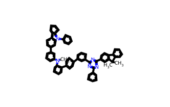 CN(c1cccc(-c2ccc3c4ccccc4n(-c4ccccc4)c3c2)c1)c1ccccc1-c1ccc(-c2cccc(-c3nc(-c4ccccc4)nc(-c4ccc5c(c4)C(C)(C)c4ccccc4-5)n3)c2)cc1